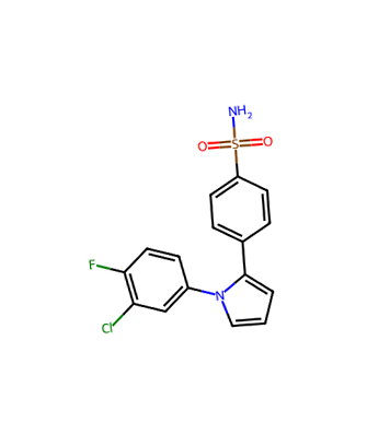 NS(=O)(=O)c1ccc(-c2cccn2-c2ccc(F)c(Cl)c2)cc1